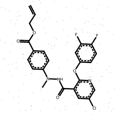 C=CCOC(=O)c1ccc(N(C)NC(=O)c2cc(Cl)cnc2Oc2ccc(F)c(F)c2)cc1